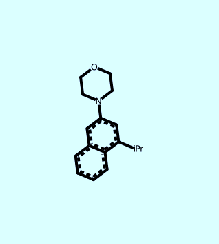 CC(C)c1cc(N2CCOCC2)cc2ccccc12